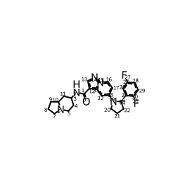 O=C(NC1CCN2CCCC2C1)c1cnn2ccc(N3CCC[C@@H]3c3cc(F)ccc3F)cc12